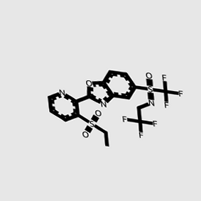 CCS(=O)(=O)c1cccnc1-c1nc2cc(S(=O)(=NCC(F)(F)F)C(F)(F)F)ccc2o1